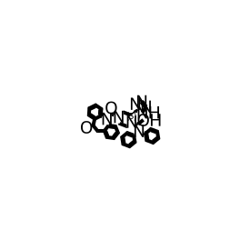 O=C1Cc2ccccc2N(C(=O)N2CCN(C(O)N(c3ccccc3)c3ccccc3)[C@H](c3nnn[nH]3)C2)c2ccccc21